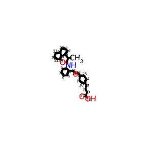 CC(C(=O)Nc1ccccc1COCc1ccc(CCCC(=O)O)cc1)c1cccc2ccccc12